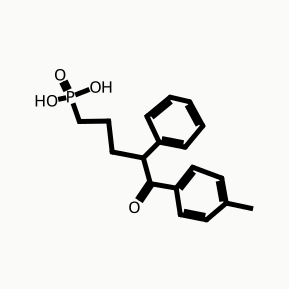 Cc1ccc(C(=O)C(CCCP(=O)(O)O)c2ccccc2)cc1